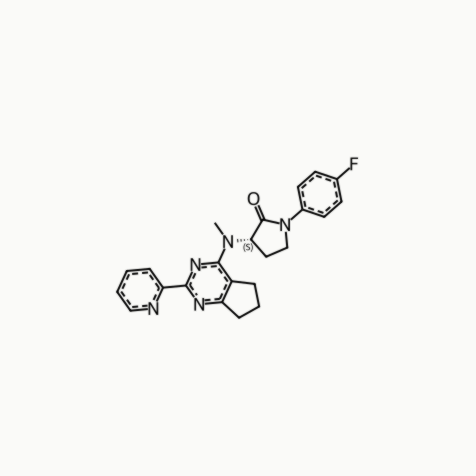 CN(c1nc(-c2ccccn2)nc2c1CCC2)[C@H]1CCN(c2ccc(F)cc2)C1=O